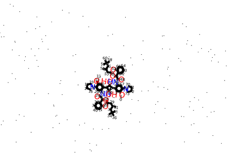 COc1cc(C2C(O)C(c3cc(OC)c(N4CCCC4)cc3NC(=O)C(OC(=O)CC(C)CC(C)(C)C)c3ccccc3)C2O)c(NC(=O)C(OC(=O)CC(C)CC(C)(C)C)c2ccccc2)cc1N1CCCC1